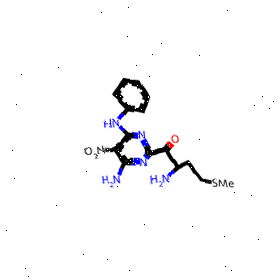 CSCCC(N)C(=O)c1nc(N)c([N+](=O)[O-])c(Nc2ccccc2)n1